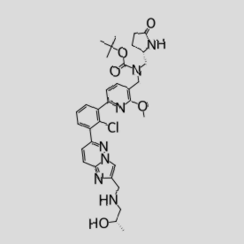 COc1nc(-c2cccc(-c3ccc4nc(CNC[C@H](C)O)cn4n3)c2Cl)ccc1CN(C[C@@H]1CCC(=O)N1)C(=O)OC(C)(C)C